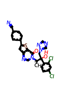 C[C@@H](n1cnc2cc(-c3ccc(C#N)cc3)sc2c1=O)[C@](O)(Cn1cncn1)c1ccc(Cl)cc1Cl